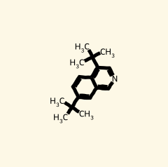 CC(C)(C)c1ccc2c(C(C)(C)C)cncc2c1